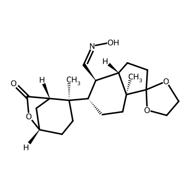 C[C@]1([C@H]2CC[C@@]3(C)[C@@H](CCC34OCCO4)[C@@H]2/C=N\O)CC[C@H]2C[C@@H]1C(=O)O2